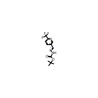 CC(C)(C)OC(=O)N/N=C/c1ccc(C(F)(F)F)nc1